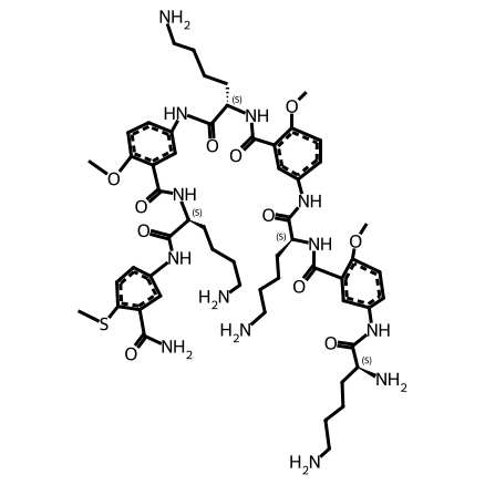 COc1ccc(NC(=O)[C@H](CCCCN)NC(=O)c2cc(NC(=O)[C@@H](N)CCCCN)ccc2OC)cc1C(=O)N[C@@H](CCCCN)C(=O)Nc1ccc(OC)c(C(=O)N[C@@H](CCCCN)C(=O)Nc2ccc(SC)c(C(N)=O)c2)c1